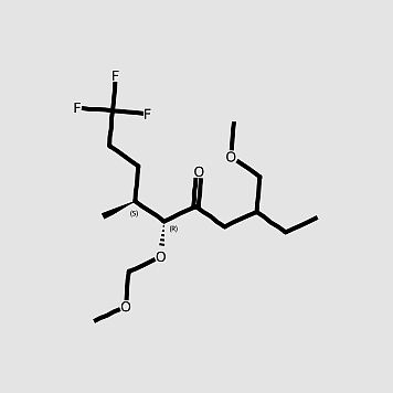 CCC(COC)CC(=O)[C@H](OCOC)[C@@H](C)CCC(F)(F)F